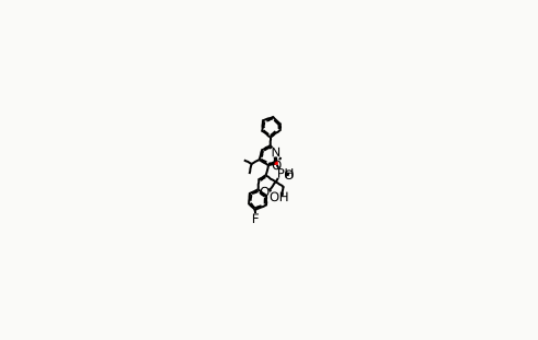 CCC(C(=O)O)(C(=Cc1ccc(F)cc1)c1cnc(-c2ccccc2)cc1C(C)C)[PH](=O)OC